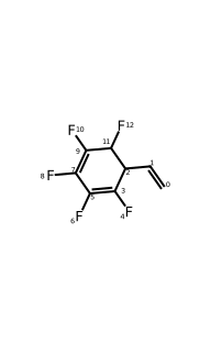 C=CC1C(F)=C(F)C(F)=C(F)C1F